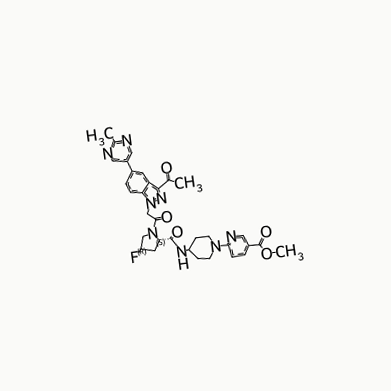 COC(=O)c1ccc(N2CCC(NC(=O)[C@@H]3C[C@@H](F)CN3C(=O)Cn3nc(C(C)=O)c4cc(-c5cnc(C)nc5)ccc43)CC2)nc1